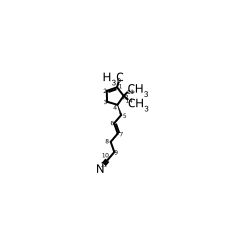 CC1=CC[C@H](CC=CCCC#N)C1(C)C